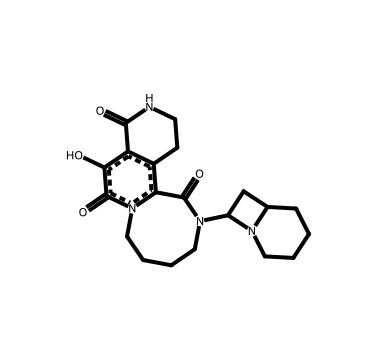 O=C1NCCc2c1c(O)c(=O)n1c2C(=O)N(C2CC3CCCCN32)CCCC1